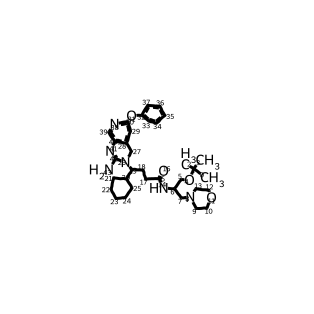 CC(C)(C)OCC(CN1CCOCC1)NC(=O)CCC(C1CCCCC1)N1Cc2cc(Oc3ccccc3)ncc2N=C1N